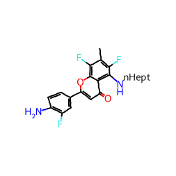 CCCCCCCNc1c(F)c(C)c(F)c2oc(-c3ccc(N)c(F)c3)cc(=O)c12